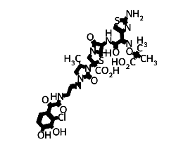 C[C@H]1CN(/N=C/CNC(=O)C(=O)c2ccc(O)c(O)c2Cl)C(=O)N1C1(C(=O)O)CN2C(=O)C(NC(=O)/C(=N\OC(C)(C)C(=O)O)c3csc(N)n3)[C@H]2S1